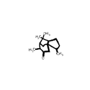 CC1C(=O)CC23CC1C(C)(C)C2CCC3C